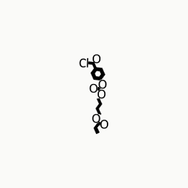 C=CC(=O)OCCCCOC(=O)Oc1ccc(C(=O)Cl)cc1